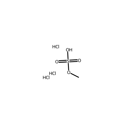 COS(=O)(=O)O.Cl.Cl.Cl